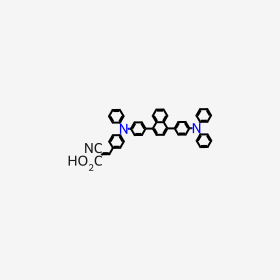 N#C/C(=C\c1ccc(N(c2ccccc2)c2ccc(-c3ccc(-c4ccc(N(c5ccccc5)c5ccccc5)cc4)c4ccccc34)cc2)cc1)C(=O)O